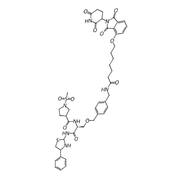 CS(=O)(=O)N1CCC(C(=O)N[C@@H](COCc2ccc(CNC(=O)CCCCCCOc3cccc4c3C(=O)N(C3CCC(=O)NC3=O)C4=O)cc2)C(=O)NC2NC(c3ccccc3)CS2)C1